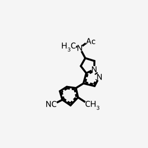 CC(=O)N(C)C1Cc2c(-c3ccc(C#N)cc3C)cnn2C1